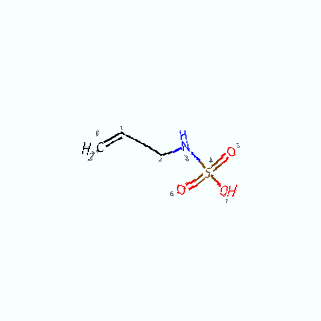 C=CCNS(=O)(=O)O